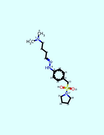 CN(C)CCCC=NNc1ccc(CS(=O)(=O)N2CCCC2)cc1